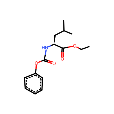 CCOC(=O)[C@H](CC(C)C)NC(=O)Oc1ccccc1